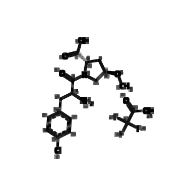 CO[C@@H]1C[C@@H](C(=O)O)N(C(=O)C(N)Cc2ccc(Cl)cc2)C1.O=C(O)C(F)(F)F